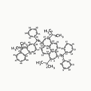 CC(C)c1cc(N(c2ccccc2)c2ccccc2)c2ccc3c(C(C)C)cc(N(c4ccccc4)c4ccc5c(c4)[Si](C)(C)c4ccccc4-5)c4ccc1c2c34